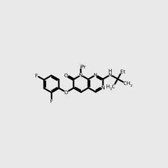 CCC(C)(C)Nc1ncc2cc(Oc3ccc(F)cc3F)c(=O)n(C(C)C)c2n1